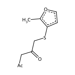 CC(=O)CC(=O)CSc1ccoc1C